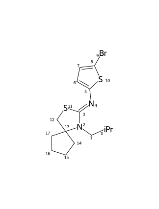 CC(C)CN1C(=Nc2ccc(Br)s2)SCC12CCCC2